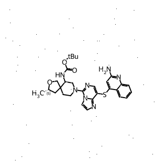 C[C@H]1CC2(CCN(c3ncc(Sc4cc(N)nc5ccccc45)c4nccn34)CC2NC(=O)OC(C)(C)C)CO1